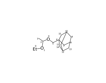 CCOC(C)OCC12CC3CC(CC(C3)C1)C2